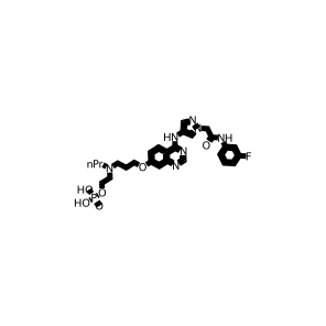 CCCN(CCCOc1ccc2c(Nc3cnn(CC(=O)Nc4cccc(F)c4)c3)ncnc2c1)CCOP(=O)(O)O